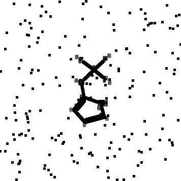 FC(F)(F)Oc1ccc[nH]1